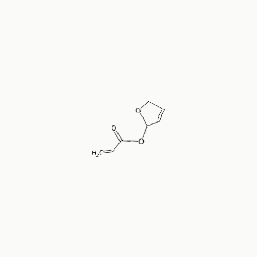 C=CC(=O)OC1C=CCO1